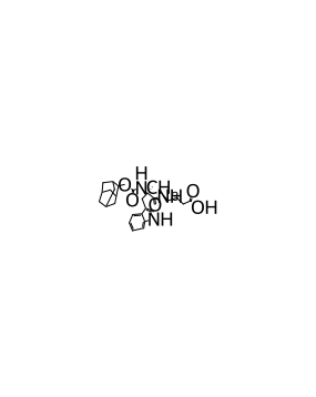 C[C@](Cc1c[nH]c2ccccc12)(NC(=O)OC1C2CC3CC(C2)CC1C3)C(=O)NCCCC(=O)O